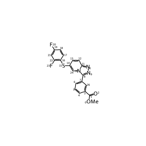 COC(=O)c1cccc(-c2nnc3ccc(Sc4ccc(F)cc4F)cn23)c1